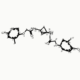 Cc1cc(Cl)ncc1OCC(=O)NC12CC(NC(=O)COc3ccc(Cl)c(F)c3)(C1)C2